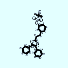 O=S(=O)(Oc1cccc(CCc2nc(-c3ccccc3)c(-c3ccccc3)o2)c1)C(F)(F)F